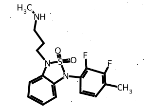 CNCCCN1c2ccccc2N(c2ccc(C)c(F)c2F)S1(=O)=O